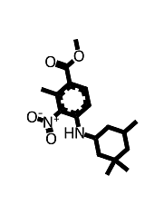 COC(=O)c1ccc(NC2CC(C)CC(C)(C)C2)c([N+](=O)[O-])c1C